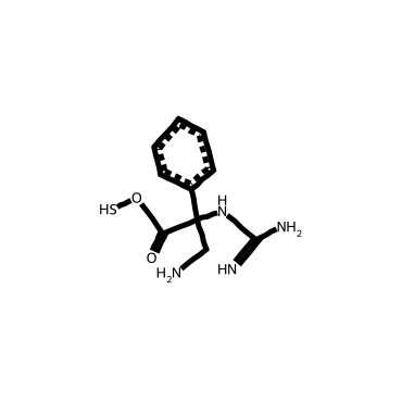 N=C(N)NC(CN)(C(=O)OS)c1ccccc1